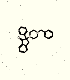 O=C1c2ccccc2CC1(c1ccccc1)N1CCN(Cc2ccccc2)CC1